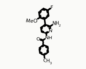 COc1ccc(F)cc1-c1ccc(NC(=O)c2ccc(C)cc2)nc1N